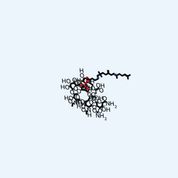 C=C(C/C=C(\C)CCC=C(C)C)CCC(C)(C)/C=C/CC/C(C)=C\CO[C@H](COP(=O)(O)O[C@H]1OC(C(N)=O)[C@@](C)(O)[C@H](OC(N)=O)C1O[C@@H]1OC2CO[C@@H]3OC(CO)[C@@H](O)C(OC4O[C@@H](O[C@H]2C(O)[C@@H]1NC(C)=O)[C@@H](NC(C)=O)C(O)[C@@H]4O[C@@H]1OC(C(O)NC2=C(O)CCC2=O)[C@H](O)C(O)[C@@H]1O)[C@@H]3O)C(=O)O